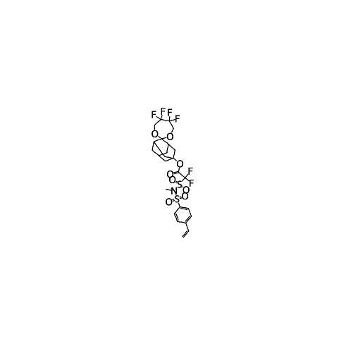 C=Cc1ccc(S(=O)(=O)N(C)S(=O)(=O)C(F)(F)C(=O)OC23CC4CC(C2)C2(OCC(F)(F)C(F)(F)CO2)C(C4)C3)cc1